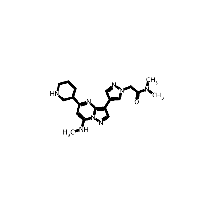 CNc1cc(C2CCCNC2)nc2c(-c3cnn(CC(=O)N(C)C)c3)cnn12